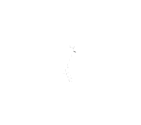 CCCC[Si](C)(C)O[Si](C)(C)CCCOCCOC(=O)C(C)C(C)C(=O)O